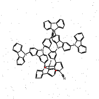 N#Cc1ccc(-n2c3ccc(-n4c5ccccc5c5ccccc54)cc3c3cc(-n4c5ccccc5c5ccccc54)ccc32)c(-c2ccc(-c3ccc(C#N)cc3C(F)(F)F)cc2-n2c3ccc(-n4c5ccccc5c5ccccc54)cc3c3cc(-n4c5ccccc5c5ccccc54)ccc32)c1